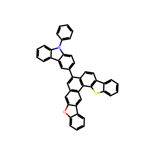 c1ccc(-n2c3ccccc3c3cc(-c4cc5cc6oc7ccccc7c6cc5c5c4ccc4c6ccccc6sc45)ccc32)cc1